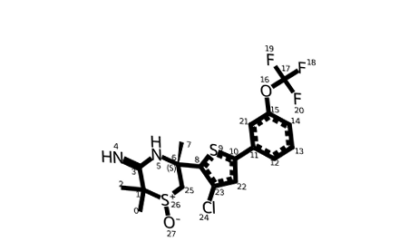 CC1(C)C(=N)N[C@](C)(c2sc(-c3cccc(OC(F)(F)F)c3)cc2Cl)C[S+]1[O-]